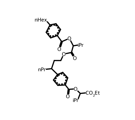 CCCCCCc1ccc(C(=O)OC(C(=O)OCCC(CCC)c2ccc(C(=O)OC(C(=O)OCC)C(C)C)cc2)C(C)C)cc1